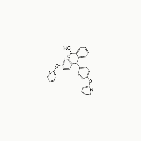 O=C(O)c1ccccc1C(c1ccc(Oc2ccccn2)cc1)c1ccc(Oc2ccccn2)cc1